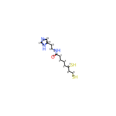 O=C(CCCCC(S)CCS)NCCc1cnc[nH]1